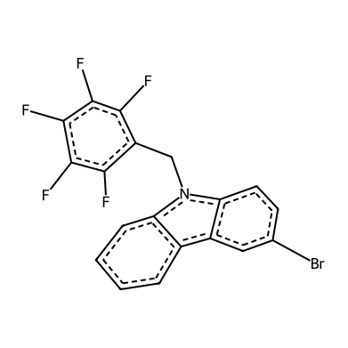 Fc1c(F)c(F)c(Cn2c3ccccc3c3cc(Br)ccc32)c(F)c1F